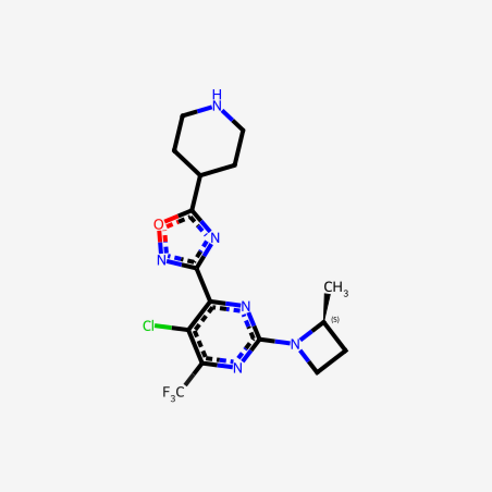 C[C@H]1CCN1c1nc(-c2noc(C3CCNCC3)n2)c(Cl)c(C(F)(F)F)n1